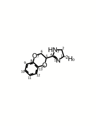 [2H][C@H]1CNC(C2COc3ccccc3O2)=N1